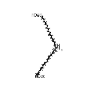 CCCCCCCCCCCCCCCCCCCCCCCCCCCCP[PH3]CCCCCCCCCCCCCCCCCCCCCCCCCCCC